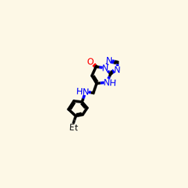 CCc1ccc(NCc2cc(=O)n3ncnc3[nH]2)cc1